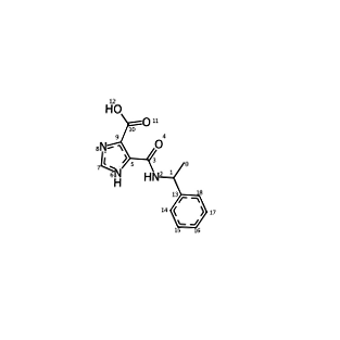 CC(NC(=O)c1[nH]cnc1C(=O)O)c1ccccc1